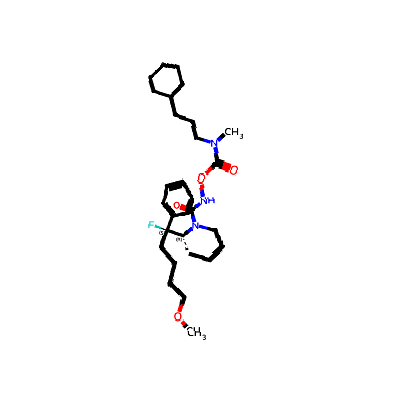 COCCCC[C@](F)(c1ccccc1)[C@H]1CCCCN1C(=O)NOC(=O)N(C)CCCC1CCCCC1